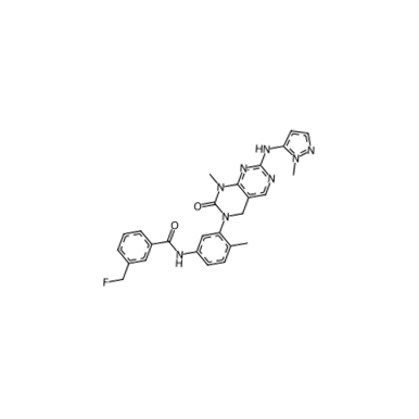 Cc1ccc(NC(=O)c2cccc(CF)c2)cc1N1Cc2cnc(Nc3ccnn3C)nc2N(C)C1=O